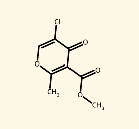 COC(=O)c1c(C)occ(Cl)c1=O